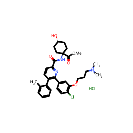 COC(=O)[C@]1(NC(=O)c2ccc(-c3ccccc3C)c(-c3ccc(Cl)c(OCCCN(C)C)c3)n2)CC[C@H](O)CC1.Cl